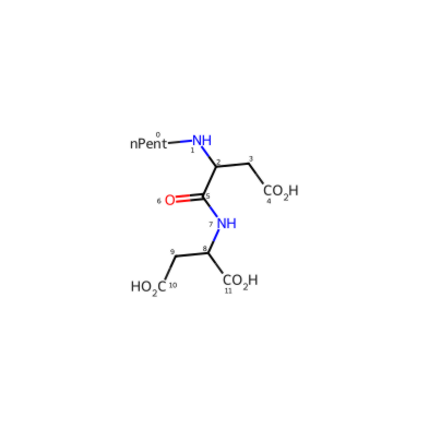 CCCCCNC(CC(=O)O)C(=O)NC(CC(=O)O)C(=O)O